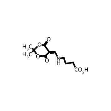 CC1(C)OC(=O)C(=CNCCCC(=O)O)C(=O)O1